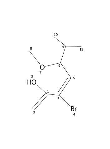 C=C(O)/C(Br)=C\C(OC)C(C)C